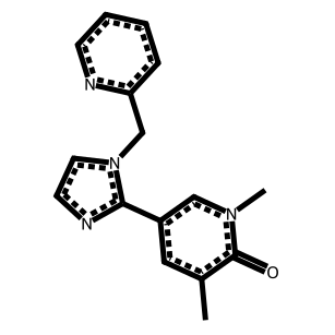 Cc1cc(-c2nccn2Cc2ccccn2)cn(C)c1=O